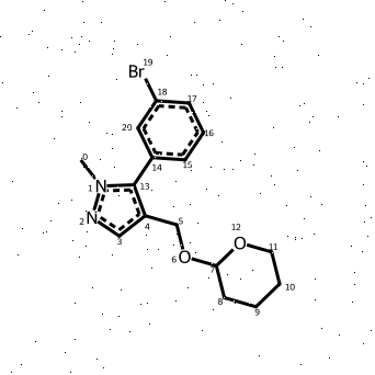 Cn1ncc(COC2CCCCO2)c1-c1cccc(Br)c1